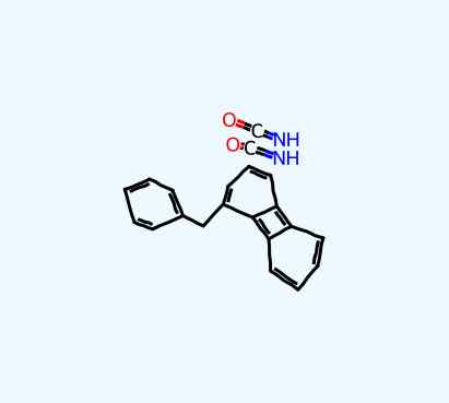 N=C=O.N=C=O.c1ccc(Cc2cccc3c2=c2ccccc2=3)cc1